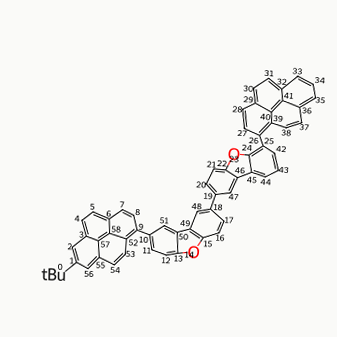 CC(C)(C)c1cc2ccc3ccc(-c4ccc5oc6ccc(-c7ccc8oc9c(-c%10ccc%11ccc%12cccc%13ccc%10c%11c%12%13)cccc9c8c7)cc6c5c4)c4ccc(c1)c2c34